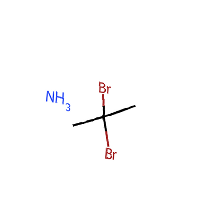 CC(C)(Br)Br.N